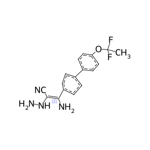 CC(F)(F)Oc1ccc(-c2ccc(/C(N)=C(\C#N)NN)cc2)cc1